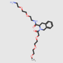 COCCOCCOCC(=O)N1Cc2ccccc2CC1C(=O)NCCOCCOCCN